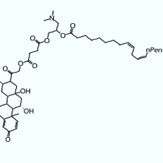 CCCCC/C=C\C/C=C\CCCCCCCC(=O)OC(COC(=O)CCC(=O)OCC(=O)C1CC2(O)C[C@H](O)C3C(CCC4=CC(=O)C=CC43C)C2C[C@H]1C)CN(C)C